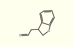 O=CCC1COc2ccccc21